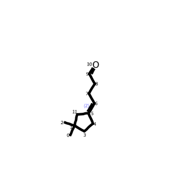 CC1(C)CC/C(=C/CCC=O)C1